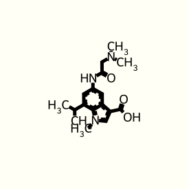 CC(C)c1cc(NC(=O)CN(C)C)cc2c(C(=O)O)cn(C)c12